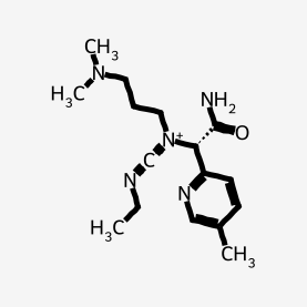 CCN=C=[N+](CCCN(C)C)[C@H](C(N)=O)c1ccc(C)cn1